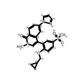 Cn1cc(-c2cc(S(C)(=O)=O)ccc2OCC2CC2)c2cc(-n3cccn3)ccc2c1=O